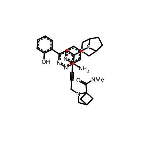 CNC(=O)C12CC(CN1CC#Cc1cc(N3C4CCC3CN(c3cc(-c5ccccc5O)nnc3N)C4)ccn1)C2